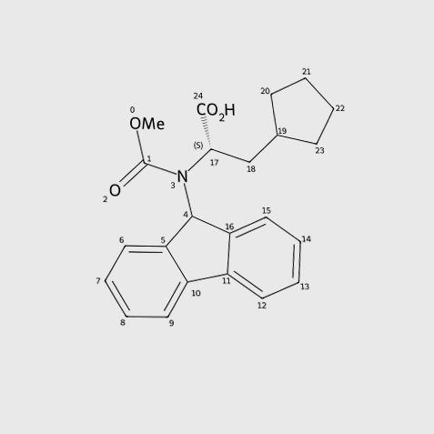 COC(=O)N(C1c2ccccc2-c2ccccc21)[C@@H](CC1CCCC1)C(=O)O